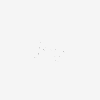 COc1ncccc1C(=O)NC1CCCn2c1nc(-c1ccncc1)cc2=O